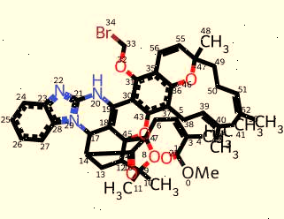 COC(=O)/C(C)=C\CC12OC(C)(C)C3CC(C1=O)C1C4=C(Nc5nc6ccccc6n51)c1c(OCBr)c5c(c(CC=C(C)C)c1OC432)OC(C)(CCC=C(C)C)C=C5